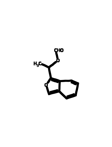 CC(OC=O)c1occ2ccccc12